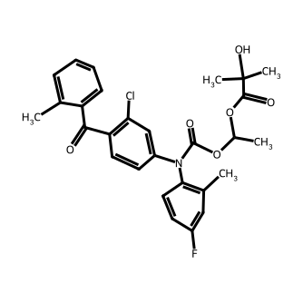 Cc1ccccc1C(=O)c1ccc(N(C(=O)OC(C)OC(=O)C(C)(C)O)c2ccc(F)cc2C)cc1Cl